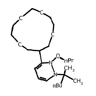 CCCCC(C)(C)N1C=CC=C(C2CCCCCCCCCCC2)N1OCCC